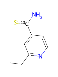 CCc1cc([13C](N)=S)ccn1